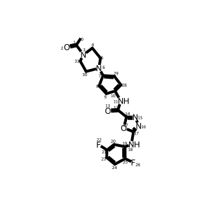 CC(=O)N1CCN(c2ccc(NC(=O)c3nnc(Nc4cc(F)ccc4F)o3)cc2)CC1